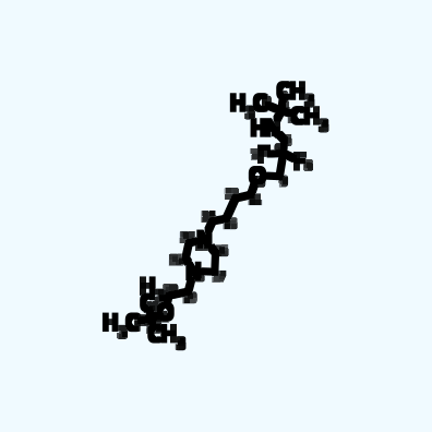 CC(C)(C)NCC(F)(F)COCCCCN1CCN(CCOC(C)(C)C)CC1